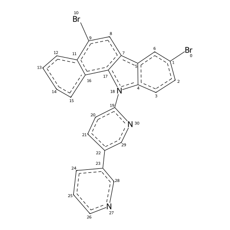 Brc1ccc2c(c1)c1cc(Br)c3ccccc3c1n2-c1ccc(-c2cccnc2)cn1